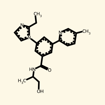 CCc1nccn1-c1cc(C(=O)NC(C)CO)cc(-c2ccc(C)cn2)c1